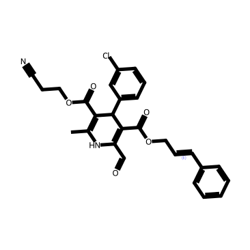 CC1=C(C(=O)OCCC#N)C(c2cccc(Cl)c2)C(C(=O)OC/C=C/c2ccccc2)=C(C=O)N1